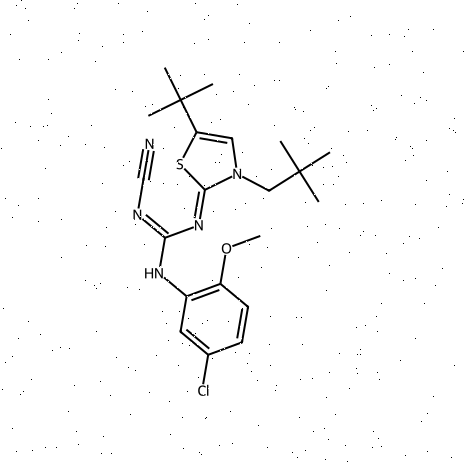 COc1ccc(Cl)cc1NC(=NC#N)N=c1sc(C(C)(C)C)cn1CC(C)(C)C